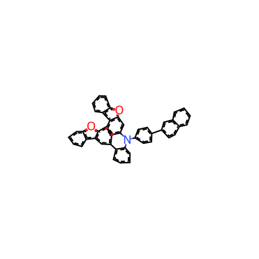 c1ccc(N(c2ccc(-c3ccc4ccccc4c3)cc2)c2ccc3c(c2)oc2ccccc23)c(-c2ccc3oc4ccccc4c3c2)c1